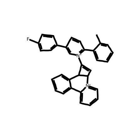 Cc1ccccc1-c1ccc(-c2ccc(F)cc2)c[n+]1C1=CC2C1c1ccccc1-c1cccc[n+]12